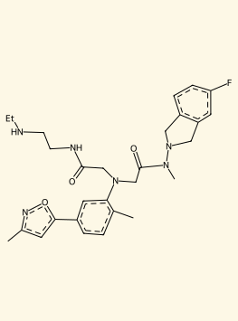 CCNCCNC(=O)CN(CC(=O)N(C)N1Cc2ccc(F)cc2C1)c1cc(-c2cc(C)no2)ccc1C